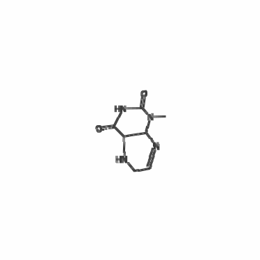 CN1C(=O)NC(=O)C2NCC=NC21